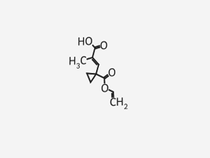 C=COC(=O)C1(C=C(C)C(=O)O)CC1